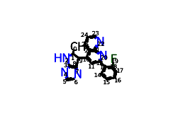 CC1Nc2nccnc2C1c1cc(-c2ccccc2F)nc2ncccc12